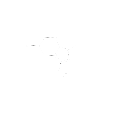 CCC1COc2c(C(=O)O)sc(C(=O)O)c2O1